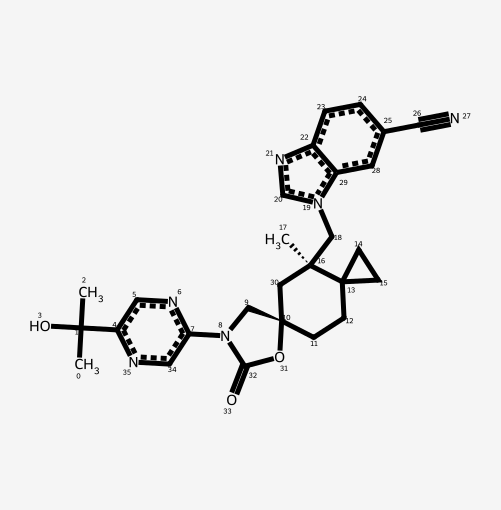 CC(C)(O)c1cnc(N2C[C@@]3(CCC4(CC4)[C@](C)(Cn4cnc5ccc(C#N)cc54)C3)OC2=O)cn1